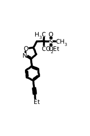 CCC#Cc1ccc(C2=NOC(CC(C)(C(=O)OCC)S(C)(=O)=O)C2)cc1